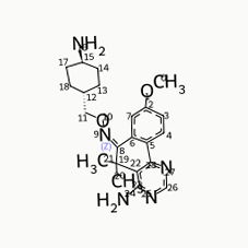 COc1ccc2c(c1)/C(=N\OC[C@H]1CC[C@H](N)CC1)C(C)(C)c1c(N)ncnc1-2